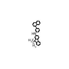 CC1(C)c2ccccc2-c2ccc(Nc3cccc(-c4cccc5ccccc45)c3)cc21